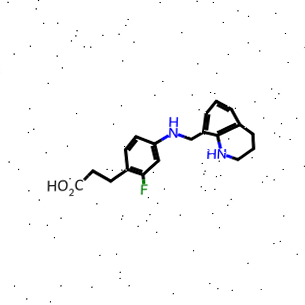 O=C(O)CCc1ccc(NCc2cccc3c2NCCC3)cc1F